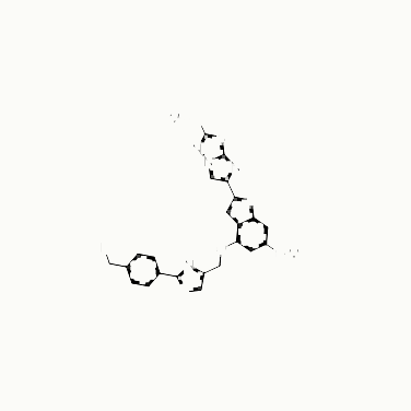 COc1cc(OCc2csc(-c3ccc(CF)cc3)n2)c2cc(-c3cn4nc(OC)sc4n3)oc2c1